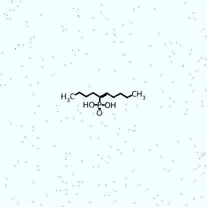 CCCCC=C(CCCC)P(=O)(O)O